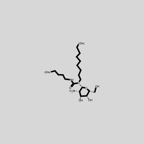 CCCCCCCCCCCCCCCCCCN(C(=O)NCCCCCCCCCCCCCC)[C@@H]1O[C@H](CO)[C@H](O)[C@H](O)[C@@H]1N